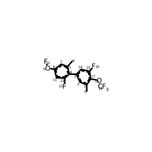 Cc1cc(-c2c(C)cc(OF)cc2F)cc(F)c1OC(F)(F)F